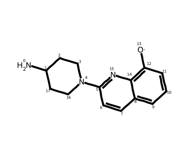 NC1CCN(c2ccc3cccc([O])c3n2)CC1